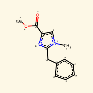 Cn1cc(C(=O)OC(C)(C)C)nc1Cc1ccccc1